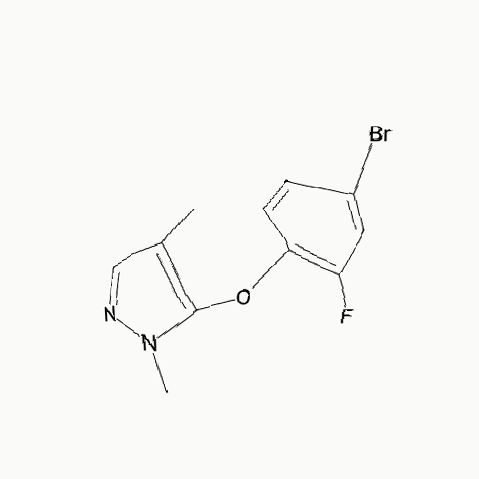 Cc1cnn(C)c1Oc1ccc(Br)cc1F